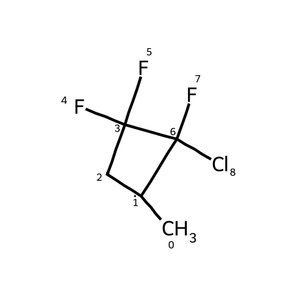 C[C]1CC(F)(F)C1(F)Cl